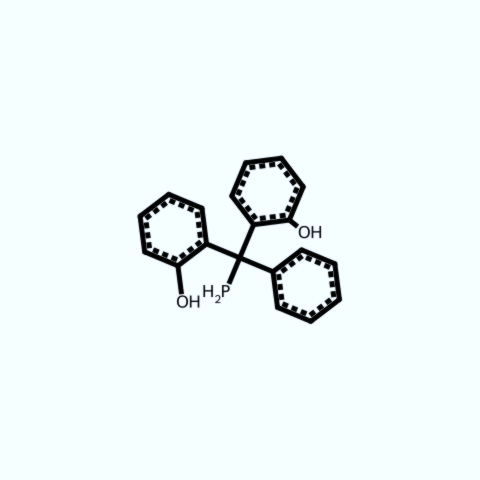 Oc1ccccc1C(P)(c1ccccc1)c1ccccc1O